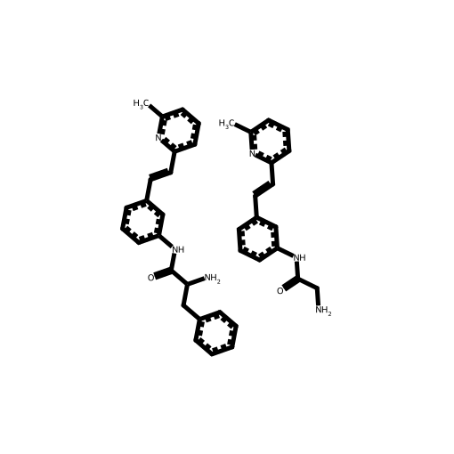 Cc1cccc(C=Cc2cccc(NC(=O)C(N)Cc3ccccc3)c2)n1.Cc1cccc(C=Cc2cccc(NC(=O)CN)c2)n1